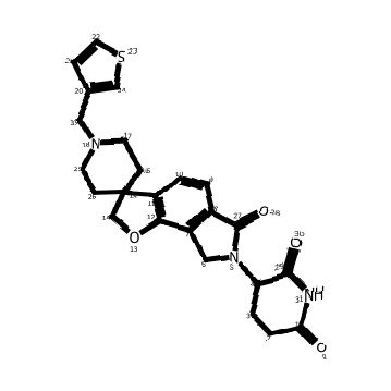 O=C1CCC(N2Cc3c(ccc4c3OCC43CCN(Cc4ccsc4)CC3)C2=O)C(=O)N1